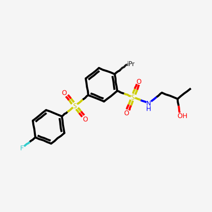 CC(O)CNS(=O)(=O)c1cc(S(=O)(=O)c2ccc(F)cc2)ccc1C(C)C